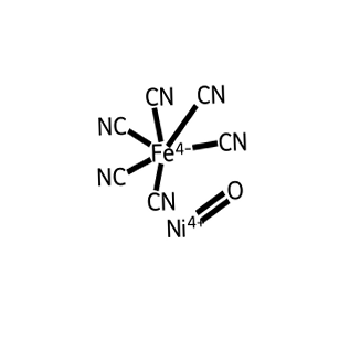 N#[C][Fe-4]([C]#N)([C]#N)([C]#N)([C]#N)[C]#N.[O]=[Ni+4]